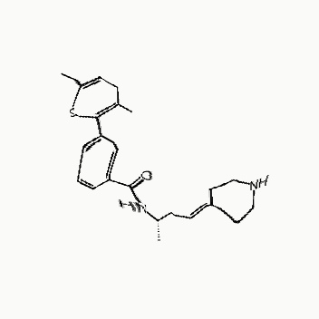 CC1=CCC(C)=C(c2cccc(C(=O)N[C@@H](C)CC=C3CCNCC3)c2)S1